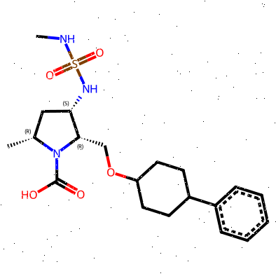 CNS(=O)(=O)N[C@H]1C[C@@H](C)N(C(=O)O)[C@H]1COC1CCC(c2ccccc2)CC1